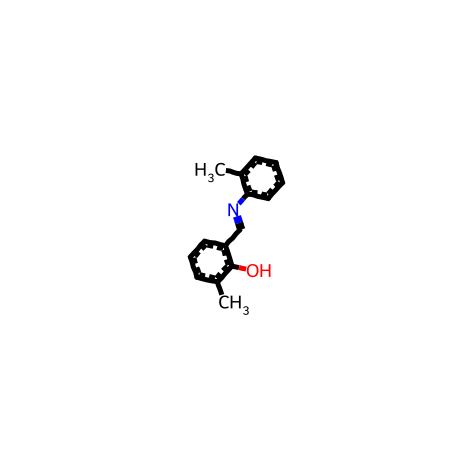 Cc1ccccc1/N=C/c1cccc(C)c1O